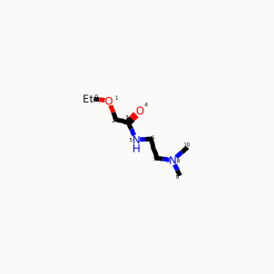 [CH2]COCC(=O)NCCN(C)C